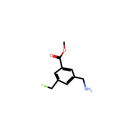 COC(=O)c1cc(CN)cc(CF)c1